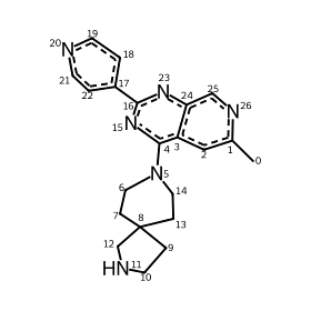 Cc1cc2c(N3CCC4(CCNC4)CC3)nc(-c3ccncc3)nc2cn1